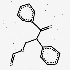 O=[C]OCC(C(=O)c1ccccc1)c1ccccc1